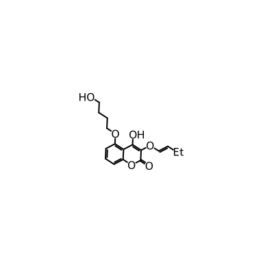 CCC=COc1c(O)c2c(OCCCCO)cccc2oc1=O